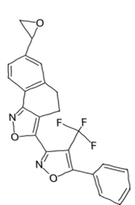 FC(F)(F)c1c(-c2onc3c2CCc2cc(C4CO4)ccc2-3)noc1-c1ccccc1